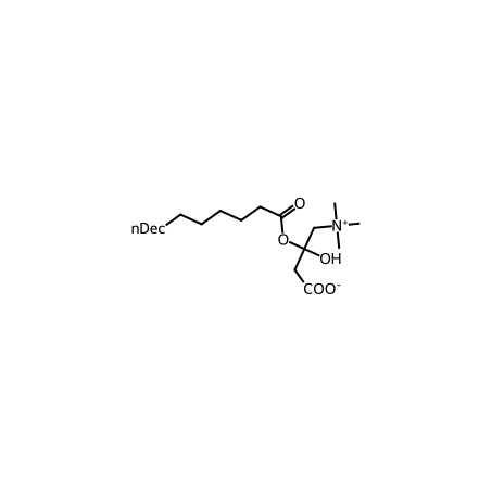 CCCCCCCCCCCCCCCC(=O)OC(O)(CC(=O)[O-])C[N+](C)(C)C